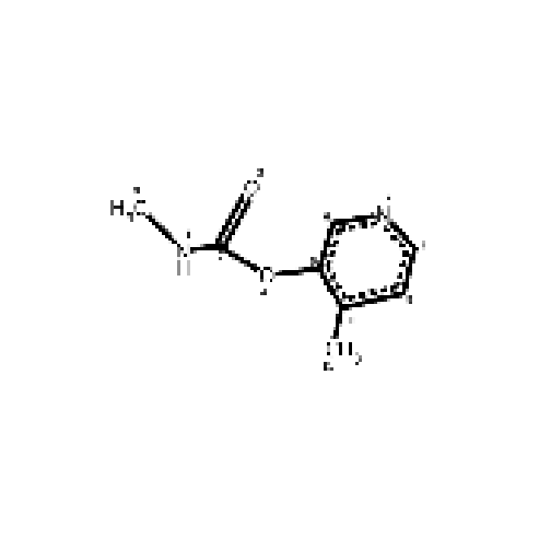 CNC(=O)Oc1cnccc1C